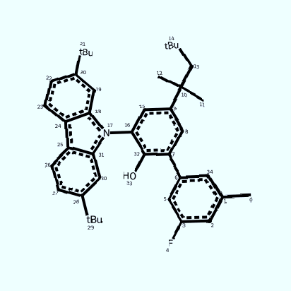 Cc1cc(F)cc(-c2cc(C(C)(C)CC(C)(C)C)cc(-n3c4cc(C(C)(C)C)ccc4c4ccc(C(C)(C)C)cc43)c2O)c1